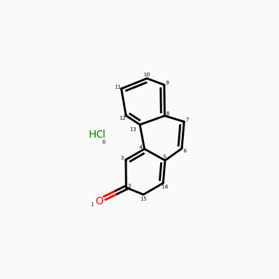 Cl.O=C1C=c2c(ccc3ccccc23)=CC1